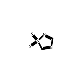 S=S1(=S)C=NC=N1